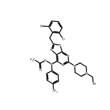 CC(C)CN1CCN(c2nc(N(OC(=O)C(F)(F)F)c3ccc(C(F)(F)F)cc3)c3nc(Cc4c(Cl)cccc4Cl)sc3n2)CC1